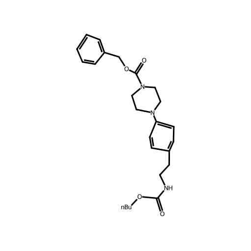 CCCCOC(=O)NCCc1ccc(N2CCN(C(=O)OCc3ccccc3)CC2)cc1